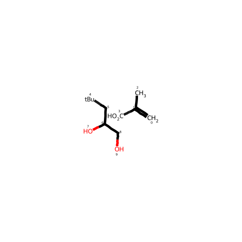 C=C(C)C(=O)O.CC(C)(C)CC(O)CO